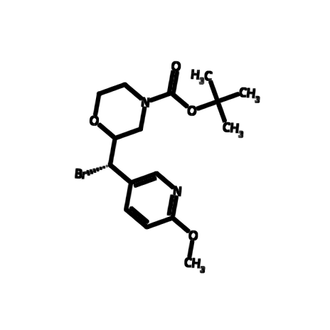 COc1ccc([C@H](Br)C2CN(C(=O)OC(C)(C)C)CCO2)cn1